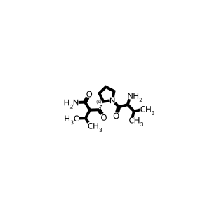 CC(C)C(N)C(=O)N1CCC[C@H]1C(=O)C(C(N)=O)C(C)C